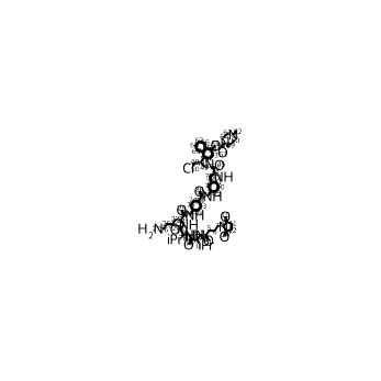 CC(C)C(NC(=O)CCCN1C(=O)C=CC1=O)C(=O)NC(C(=O)N[C@@H](CCCCN)C(=O)Nc1ccc(C(=O)Nc2ccc3[nH]c(C(=O)N4C[C@@H](CCl)c5c4cc(OC(=O)N4CCN(C)CC4)c4ccccc54)cc3c2)cc1)C(C)C